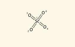 [O]=[Sc](=[O])(=[O])=[O]